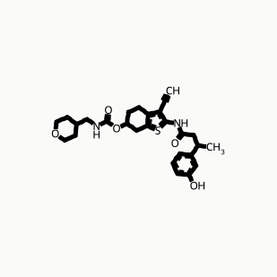 C#Cc1c(NC(=O)CC(C)c2cccc(O)c2)sc2c1CCC(OC(=O)NCC1CCOCC1)C2